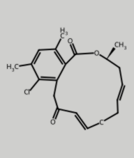 Cc1cc(C)c2c(c1Cl)CC(=O)/C=C/CC/C=C/C[C@H](C)OC2=O